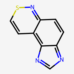 c1nc2ccc3nsccc3c2n1